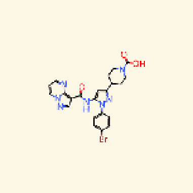 O=C(Nc1cc(C2CCN(C(=O)O)CC2)nn1-c1ccc(Br)cc1)c1cnn2cccnc12